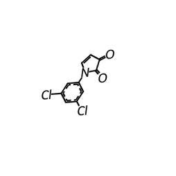 O=C1C=CN(c2cc(Cl)cc(Cl)c2)C1=O